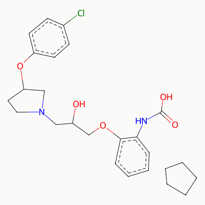 C1CCCC1.O=C(O)Nc1ccccc1OCC(O)CN1CCC(Oc2ccc(Cl)cc2)C1